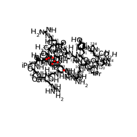 CC(C)C[C@H](NC(=O)CNC(=O)[C@H](CCCNC(=N)N)NC(=O)[C@H](C)NC(=O)[C@H](C)NC(=O)[C@H](CCCNC(=N)N)NC(=O)[C@H](CC(C)C)NC(=O)[C@@H](NC(=O)[C@H](C)NC(=O)[C@H](CC(C)C)NC(=O)[C@H](CO)NC(=O)[C@H](CCCNC(=N)N)NC(=O)CNC(=O)CN)C(C)C)C(=O)N[C@@H](Cc1ccc(O)cc1)C(=O)N[C@@H](CCCNC(=N)N)C(=O)N[C@@H](CC(C)C)C(=O)N[C@@H](Cc1c[nH]cn1)C(=O)N[C@@H](Cc1c[nH]cn1)C(=O)O